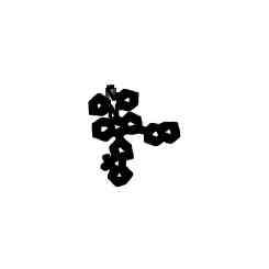 CN1c2ccccc2N(c2c3ccccc3c(-c3ccc4c(c3)C(C)(C)c3ccccc3-4)c3cc(-c4ccc5ccccc5c4)ccc23)c2ccccc21